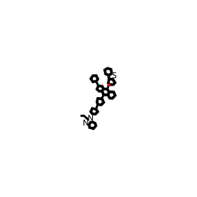 CCc1nc2ccccc2n1-c1ccc(-c2ccc(-c3c4ccccc4c(-c4ccc5sc6ccccc6c5c4)c4cc(-c5ccccc5)ccc34)cc2)cc1